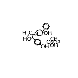 CC(C(O)c1ccc(O)cc1)N1CCC(O)(c2ccccc2)CC1.CS(=O)(=O)O